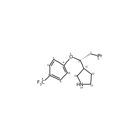 CC(C)C[C@@H](Oc1ccc(C(F)(F)F)cc1)C1CCNC1